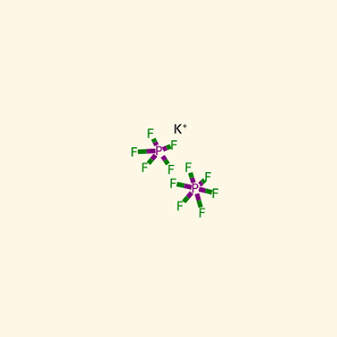 FP(F)(F)(F)F.F[P-](F)(F)(F)(F)F.[K+]